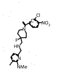 C=C(c1ccc([N+](=O)[O-])c(Cl)c1)N1CCC(F)(CNCc2ccc(C)c(NC)n2)CC1